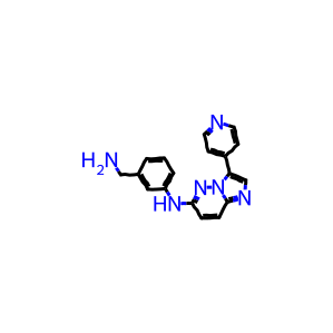 NCc1cccc(Nc2ccc3ncc(-c4ccncc4)n3n2)c1